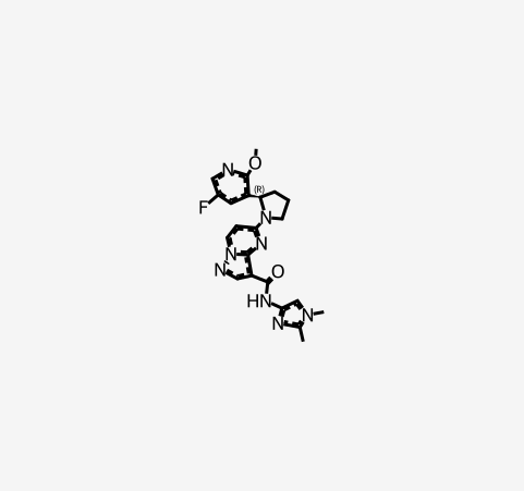 COc1ncc(F)cc1[C@H]1CCCN1c1ccn2ncc(C(=O)Nc3cn(C)c(C)n3)c2n1